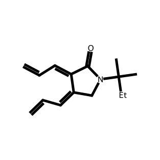 C=C/C=C1/CN(C(C)(C)CC)C(=O)/C1=C/C=C